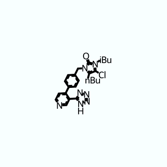 CCCCc1c(Cl)n(C(C)CC)c(=O)n1Cc1ccc(-c2ccncc2-c2nnn[nH]2)cc1